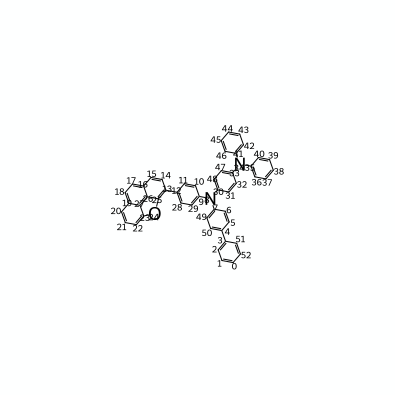 c1ccc(-c2ccc(N(c3ccc(-c4ccc5ccc6cccc7oc4c5c67)cc3)c3ccc(N(c4ccccc4)c4ccccc4)cc3)cc2)cc1